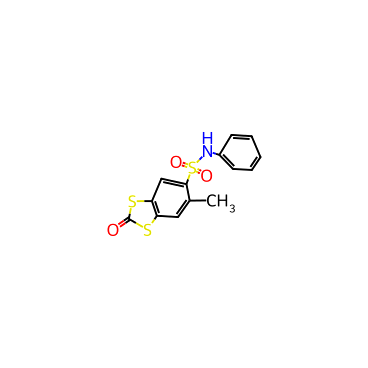 Cc1cc2sc(=O)sc2cc1S(=O)(=O)Nc1ccccc1